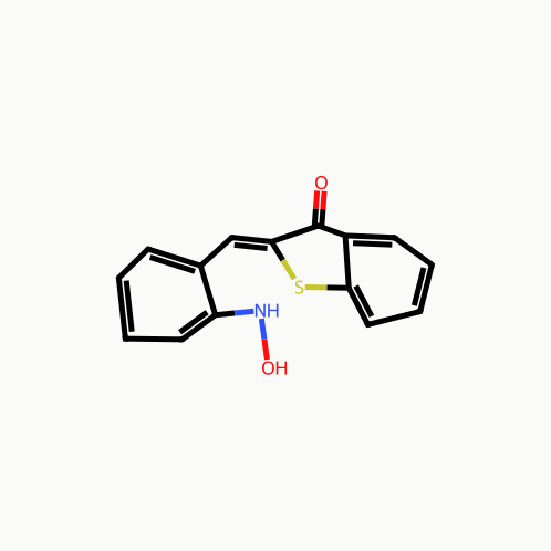 O=C1C(=Cc2ccccc2NO)Sc2ccccc21